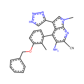 Cc1c(OCc2ccccc2)cccc1-c1c(N)c(C#N)nc2c1c(-c1c[nH]nn1)cn2C